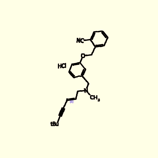 CN(C/C=C/C#CC(C)(C)C)Cc1cccc(OCc2ccccc2C#N)c1.Cl